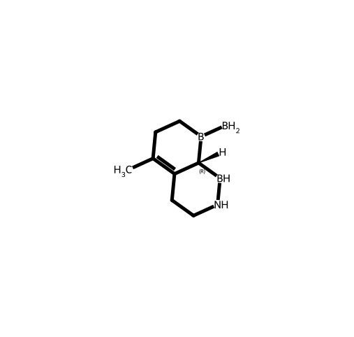 BB1CCC(C)=C2CCNB[C@@H]12